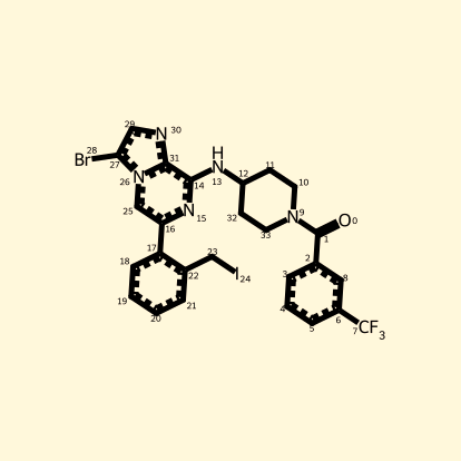 O=C(c1cccc(C(F)(F)F)c1)N1CCC(Nc2nc(-c3ccccc3CI)cn3c(Br)cnc23)CC1